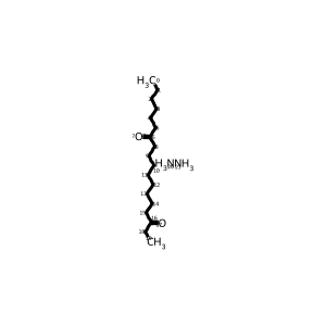 CCCCCCC(=O)CCCCCCCCC(=O)CC.N.N